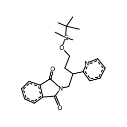 CC(C)(C)[Si](C)(C)OCCC(CN1C(=O)c2ccccc2C1=O)c1ccccn1